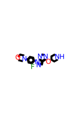 Fc1cc(N2CCOCC2)ccc1-n1ncc2c(OC3CCNCC3)ncnc21